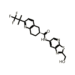 CC(C)(c1ccc2c(n1)CC[C@H](C(=O)Nc1cnc3sc(CO)nc3c1)C2)C(F)(F)F